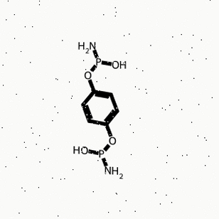 NP(O)Oc1ccc(OP(N)O)cc1